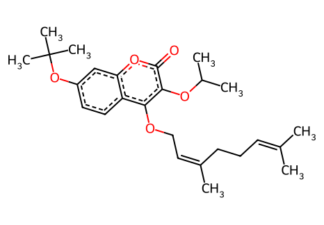 CC(C)=CCCC(C)=CCOc1c(OC(C)C)c(=O)oc2cc(OC(C)(C)C)ccc12